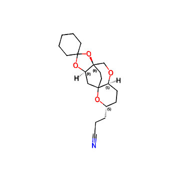 N#CCC[C@H]1CC[C@@H]2OC[C@]34CCC2(C[C@H]3OC2(CCCCC2)O4)O1